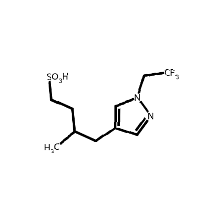 CC(CCS(=O)(=O)O)Cc1cnn(CC(F)(F)F)c1